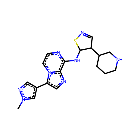 Cn1cc(-c2cnc3c(NC4SN=CC4C4CCCNC4)nccn23)cn1